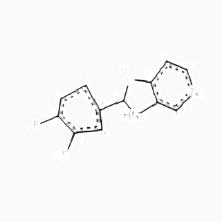 Fc1ccc(C2Nc3cnccc3O2)cc1F